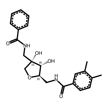 Cc1ccc(C(=O)NC[C@H]2OC[C@@](O)(CNC(=O)c3ccccc3)[C@@H]2O)cc1C